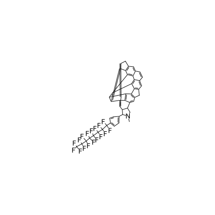 CN1CC2c3cc4c5c6c(cc7ccc8cc9c%10c%11c(cc(c%12c3c5c(c%12%11)c3c6c7c8c%103)C2C1c1ccc(C(F)(F)C(F)(F)C(F)(F)C(F)(F)C(F)(F)C(F)(F)C(F)(F)C(F)(F)F)cc1)C9)C4